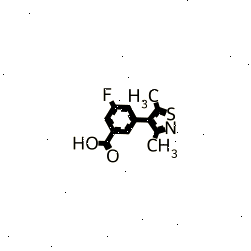 Cc1nsc(C)c1-c1cc(F)cc(C(=O)O)c1